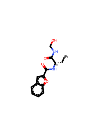 CC(C)C[C@H](NC(=O)c1cc2ccccc2o1)C(=O)NCO